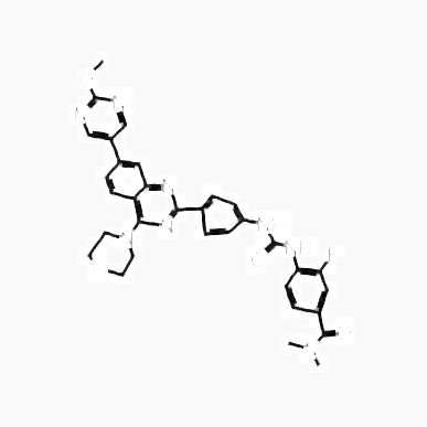 COc1ncc(-c2ccc3c(N4CCOCC4)nc(-c4ccc(NC(=O)Nc5ccc(C(=O)N(C)C)cc5F)cc4)nc3c2)cn1